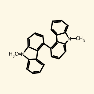 Cn1c2ccccc2c2c(-c3cccc4c3c3ccccc3n4C)cccc21